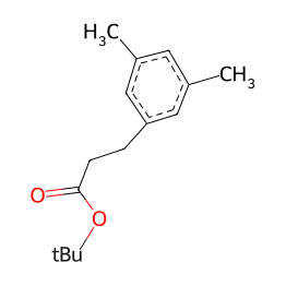 Cc1cc(C)cc(CCC(=O)OC(C)(C)C)c1